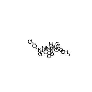 COc1ccc(-n2c(=O)[nH]c3cc(C(=O)NCc4ccc(Cl)cc4)cc(Cl)c3c2=O)nc1OC